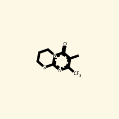 Cc1c(C(F)(F)F)nc2n(c1=O)CCCS2